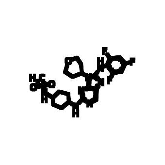 CS(=O)(=O)NC1CCC(Nc2ncc3nc(Nc4c(F)cc(F)cc4F)n(C4CCOCC4)c3n2)CC1